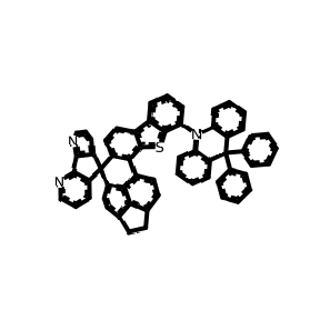 c1ccc(C2(c3ccccc3)c3ccccc3N(c3cccc4c3sc3c5c(ccc34)C3(c4cccnc4-c4ncccc43)c3ccc4c6c(ccc-5c36)CC4)c3ccccc32)cc1